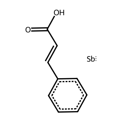 O=C(O)C=Cc1ccccc1.[Sb]